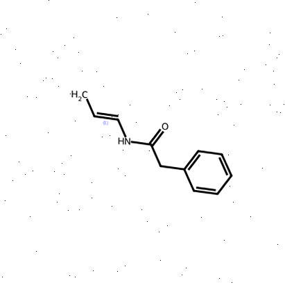 [CH2]/C=C/NC(=O)Cc1ccccc1